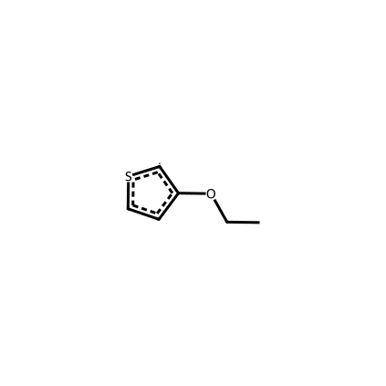 CCOc1[c]scc1